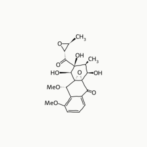 COc1cccc2c1[C@H](OC)[C@]13O[C@@]1(C2=O)[C@H](O)[C@H](C)[C@@](O)(C(=O)[C@@H]1O[C@H]1C)[C@@H]3O